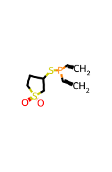 C=CP(C=C)SC1CCS(=O)(=O)C1